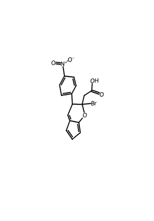 O=C(O)CC1(Br)OC2=CC=CC2=CC1c1ccc([N+](=O)[O-])cc1